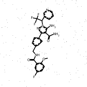 COc1ccc(F)cc1C(=O)NCc1ccc(-c2nn(C(c3cccnc3)C(F)(F)F)c(N)c2C(N)=O)cc1